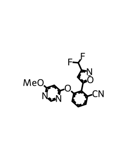 COc1cc(Oc2cccc(C#N)c2-c2cc(C(F)F)no2)ncn1